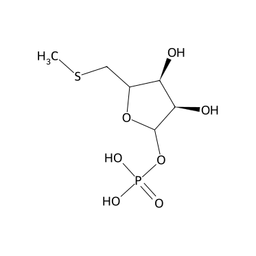 CSCC1OC(OP(=O)(O)O)[C@H](O)[C@@H]1O